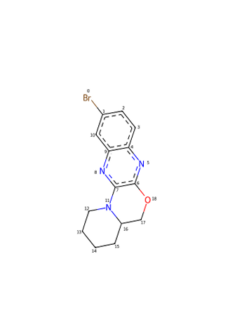 Brc1ccc2nc3c(nc2c1)N1CCCCC1CO3